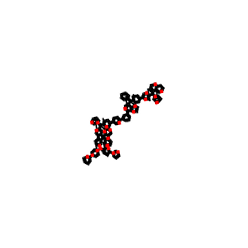 c1ccc(-c2ccc(N(c3ccc(-c4ccccc4)cc3)c3ccc4c(c3)C3(c5ccccc5-c5ccccc53)c3cc(N(c5ccccc5)c5ccc(-c6ccc(-c7cccc(-c8ccc(N(c9ccccc9)c9ccc(-c%10ccc(N(c%11ccccc%11)c%11cccc%12ccccc%11%12)cc%10)cc9)c9ccccc89)c7)cc6)cc5)ccc3-4)cc2)cc1